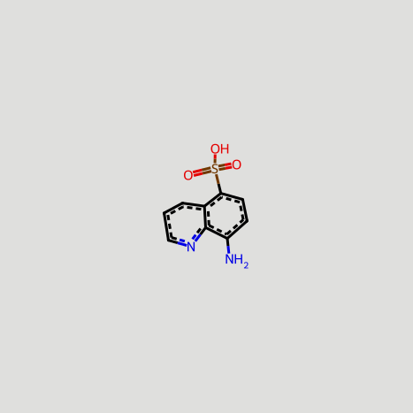 Nc1ccc(S(=O)(=O)O)c2cccnc12